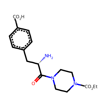 CCOC(=O)N1CCN(C(=O)[C@@H](N)Cc2ccc(C(=O)O)cc2)CC1